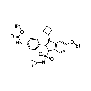 CCOc1ccc2c(c1)N(C1CCC1)C(c1ccc(NC(=O)OC(C)C)cc1)C2S(=O)(=O)NC1CC1